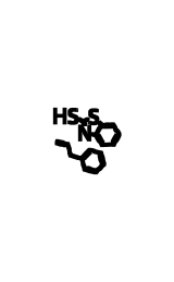 C=CCc1ccccc1.Sc1nc2ccccc2s1